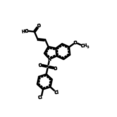 COc1ccc2c(c1)c(C=CC(=O)O)cn2S(=O)(=O)c1ccc(Cl)c(Cl)c1